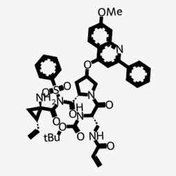 C=CC(=O)NC[C@H](NC(=O)OC(C)(C)C)C(=O)N1CC(Oc2cc(-c3ccccc3)nc3cc(OC)ccc23)C[C@H]1C(=O)N(C(=O)[C@@]1(N)C[C@H]1C=C)S(=O)(=O)c1ccccc1